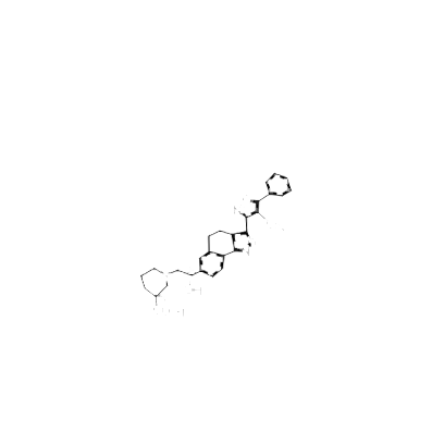 O=C(O)[C@H]1CCCN(C[C@@H](O)c2ccc3c(c2)CCc2c-3noc2-c2noc(-c3ccccc3)c2C(F)(F)F)C1